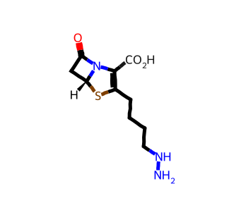 NNCCCCC1=C(C(=O)O)N2C(=O)C[C@H]2S1